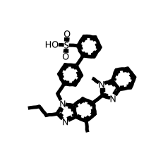 CCCc1nc2c(C)cc(-c3nc4ccccc4n3C)cc2n1Cc1ccc(-c2ccccc2S(=O)(=O)O)cc1